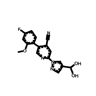 COc1cc(F)ccc1-c1cnc(-n2cc(C(O)O)cn2)cc1C#N